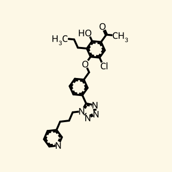 CCCc1c(O)c(C(C)=O)cc(Cl)c1OCc1cccc(-c2nnnn2CCCc2cccnc2)c1